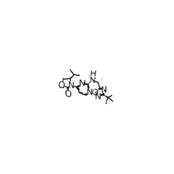 CC(C)C1COC(=O)N1c1ccnc(N[C@H](C)c2nc(C(C)(C)C)no2)n1